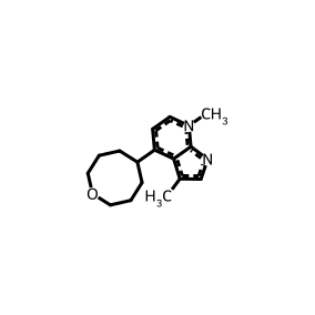 Cc1cnc2n(C)ccc(C3CCCOCCC3)c1-2